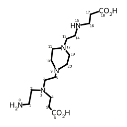 NCCN(CCC(=O)O)CCN1CCN(CCNCCC(=O)O)CC1